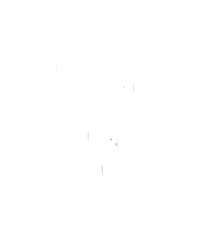 CCN(CC)Cc1c(C)cc(O)cc1C